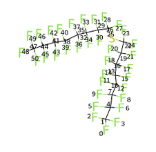 FC(F)(F)C(F)(F)C(F)(F)C(F)(F)C(F)(F)C(F)(F)C(F)(F)C(F)(F)SC(F)(F)C(F)(F)C(F)(F)C(F)(F)C(F)(F)C(F)(F)C(F)(F)C(F)(F)F